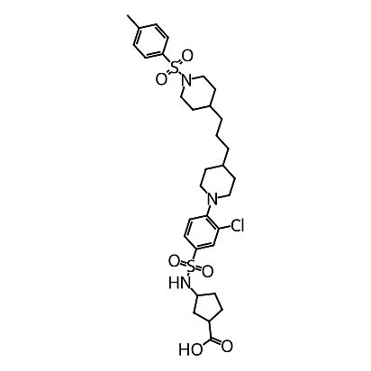 Cc1ccc(S(=O)(=O)N2CCC(CCCC3CCN(c4ccc(S(=O)(=O)NC5CCC(C(=O)O)C5)cc4Cl)CC3)CC2)cc1